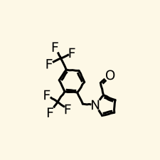 O=Cc1cccn1Cc1ccc(C(F)(F)F)cc1C(F)(F)F